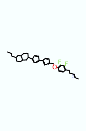 C/C=C/CCc1ccc(OCc2ccc(-c3ccc(C4CCC5CC(CCC)CCC5C4)cc3)cc2)c(F)c1F